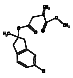 C=C(CC(=O)OC1(C)Cc2ccc(Cl)cc2C1)C(=O)OC